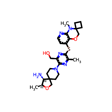 Cc1nc(N2CCC3(CC2)CO[C@@H](C)[C@H]3N)c(CO)nc1Sc1ccnc2c1OCC1(CCC1)N2C